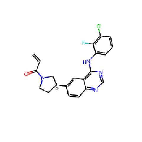 C=CC(=O)N1CC[C@H](c2ccc3ncnc(Nc4cccc(Cl)c4F)c3c2)C1